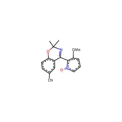 COc1ccc[n+]([O-])c1C1=NC(C)(C)Oc2ccc(C#N)cc21